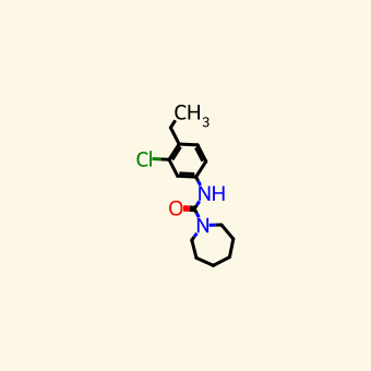 CCc1ccc(NC(=O)N2CCCCCC2)cc1Cl